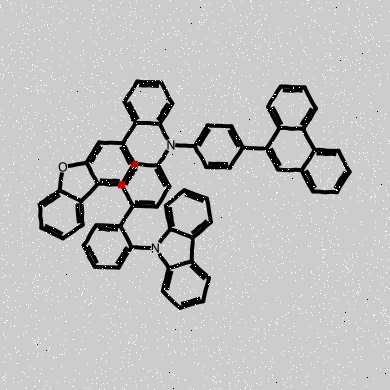 c1ccc(N(c2ccc(-c3ccccc3-n3c4ccccc4c4ccccc43)cc2)c2ccc(-c3cc4ccccc4c4ccccc34)cc2)c(-c2ccc3c(c2)oc2ccccc23)c1